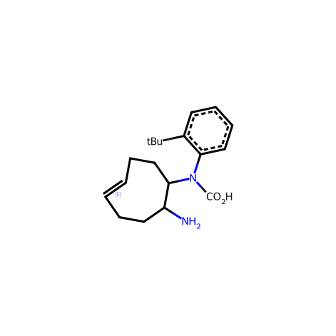 CC(C)(C)c1ccccc1N(C(=O)O)C1CC/C=C/CCC1N